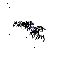 C=C1/C(=C\C=C2/CCC[C@]3(C)[C@@H]([C@H](C)CC[C@@H](O[Si](C)(C)C(C)(C)C)C(C)(C)O[Si](C)(C)C(C)(C)C)CC[C@@H]23)C[C@@H](O[Si](C)(C)C(C)(C)C)[C@@H](OCCCO[Si](C)(C)C(C)(C)C)[C@@H]1O[Si](C)(C)C(C)(C)C